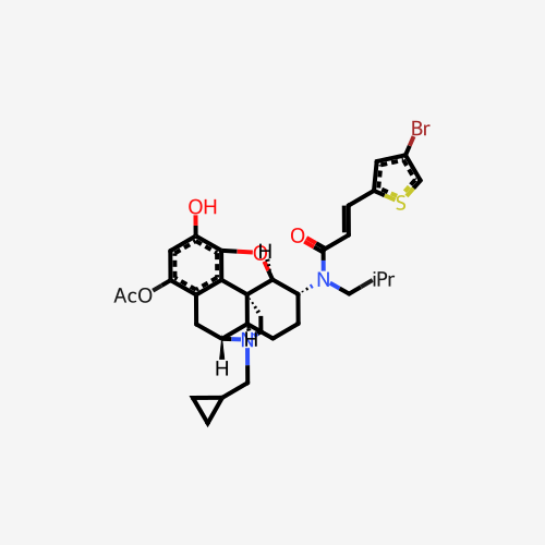 CC(=O)Oc1cc(O)c2c3c1C[C@@H]1[C@@H]4CC[C@@H](N(CC(C)C)C(=O)/C=C/c5cc(Br)cs5)[C@H](O2)[C@]34CCN1CC1CC1